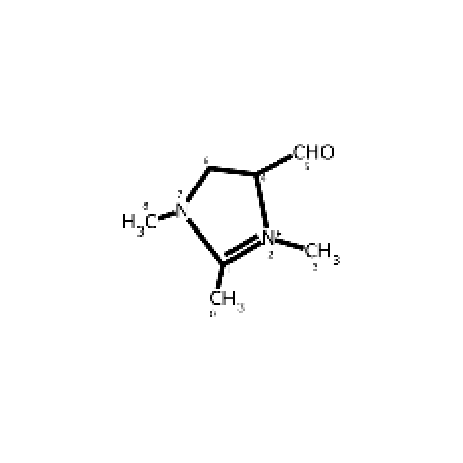 CC1=[N+](C)C(C=O)CN1C